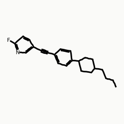 CCCCC1CCC(c2ccc(C#Cc3ccc(F)nc3)cc2)CC1